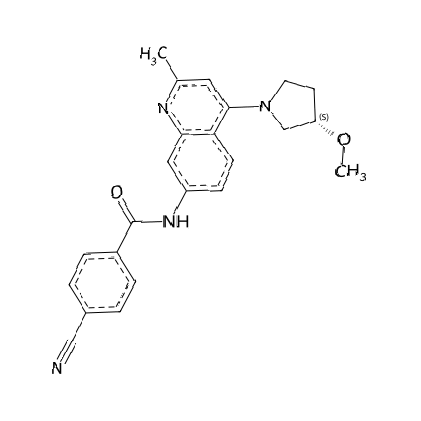 CO[C@H]1CCN(c2cc(C)nc3cc(NC(=O)c4ccc(C#N)cc4)ccc23)C1